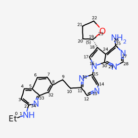 CCNc1ccc2ccc(CCc3cncc(-n4cc([C@@H]5CCCO5)c5c(N)ncnc54)n3)cc2n1